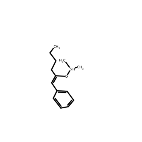 CCCCC(=Cc1ccccc1)O[SiH](C)C